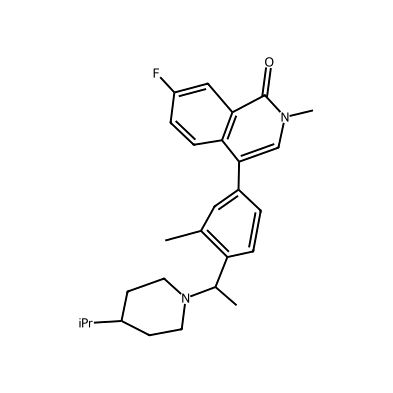 Cc1cc(-c2cn(C)c(=O)c3cc(F)ccc23)ccc1C(C)N1CCC(C(C)C)CC1